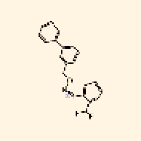 FC(F)c1ccccc1/[C]=N\OCc1cccc(-c2ccccc2)c1